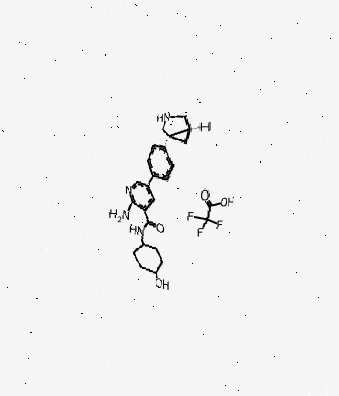 Nc1ncc(-c2ccc([C@]34CNC[C@H]3C4)cc2)cc1C(=O)NC1CCC(O)CC1.O=C(O)C(F)(F)F